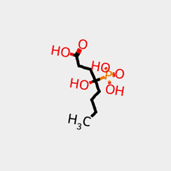 CCCCC(O)(CCC(=O)O)P(=O)(O)O